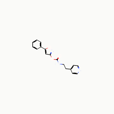 O=C(NCCc1ccncc1)Oc1cc(-c2ccccc2)on1